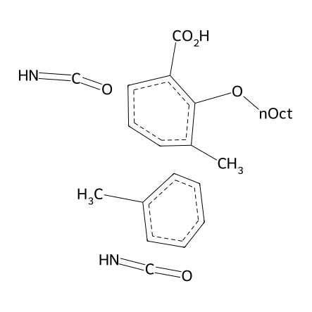 CCCCCCCCOc1c(C)cccc1C(=O)O.Cc1ccccc1.N=C=O.N=C=O